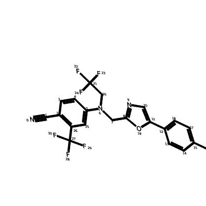 N#Cc1ccc(N(Cc2ncc(-c3ccc(F)cc3)o2)CC(F)(F)F)cc1C(F)(F)F